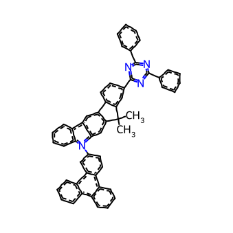 CC1(C)c2cc(-c3nc(-c4ccccc4)nc(-c4ccccc4)n3)ccc2-c2cc3c4ccccc4n(-c4ccc5c6ccccc6c6ccccc6c5c4)c3cc21